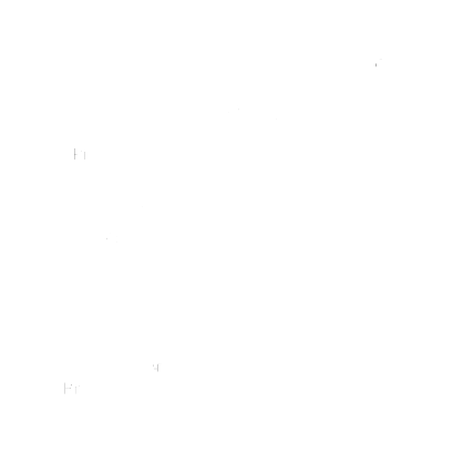 CC(C)c1cc(Oc2cccc(Cl)c2)ccc1OCC=C(Br)Br